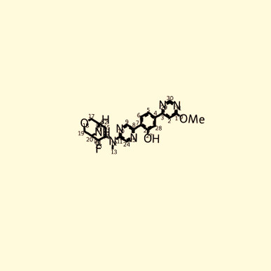 COc1cc(-c2ccc(-c3cnc(N(C)[C@H]4C[C@@H]5COCC(N5)[C@H]4F)cn3)c(O)c2)ncn1